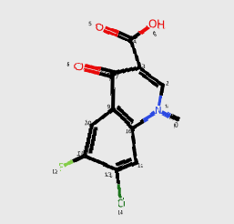 Cn1cc(C(=O)O)c(=O)c2cc(F)c(Cl)cc21